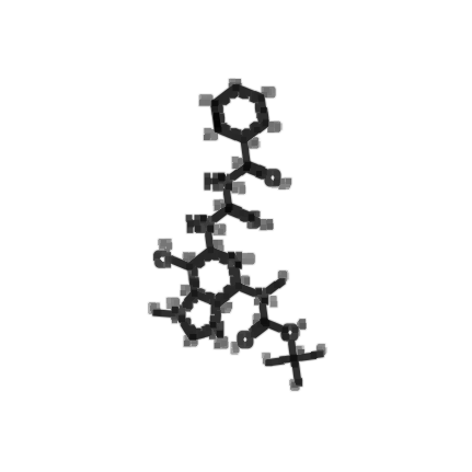 CN(C(=O)OC(C)(C)C)c1nc(NC(=S)NC(=O)c2ccccc2)c(Cl)c2c1ncn2C